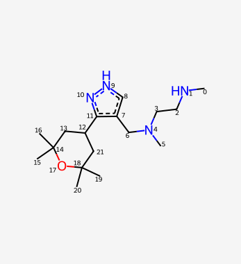 CNCCN(C)Cc1c[nH]nc1C1CC(C)(C)OC(C)(C)C1